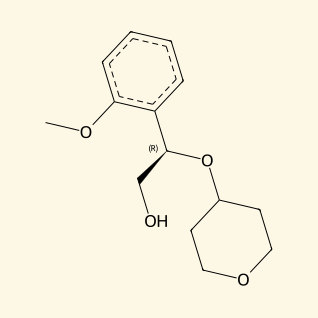 COc1ccccc1[C@H](CO)OC1CCOCC1